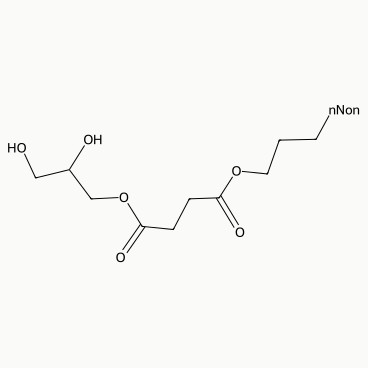 CCCCCCCCCCCCOC(=O)CCC(=O)OCC(O)CO